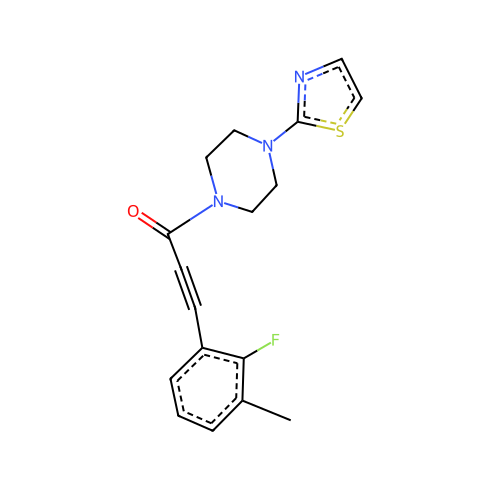 Cc1cccc(C#CC(=O)N2CCN(c3nccs3)CC2)c1F